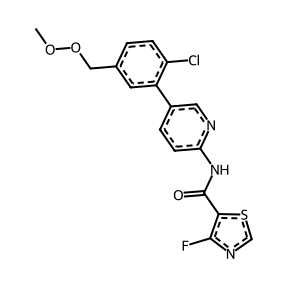 COOCc1ccc(Cl)c(-c2ccc(NC(=O)c3scnc3F)nc2)c1